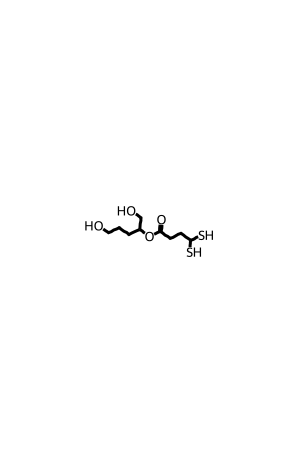 O=C(CCC(S)S)OC(CO)CCCO